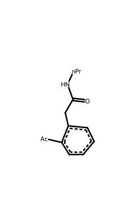 CCCNC(=O)Cc1ccccc1C(C)=O